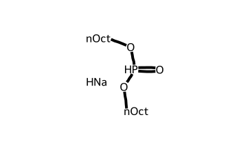 CCCCCCCCO[PH](=O)OCCCCCCCC.[NaH]